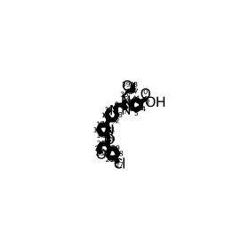 O=C(O)c1ccc2nc(CN3CC=C(c4cccc(OC5CCOc6cc(Cl)ccc65)n4)CC3)n(C[C@@H]3CCO3)c2c1